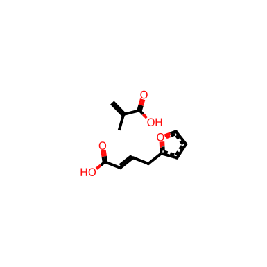 C=C(C)C(=O)O.O=C(O)C=CCc1ccco1